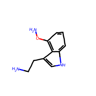 NCCc1c[nH]c2cccc(ON)c12